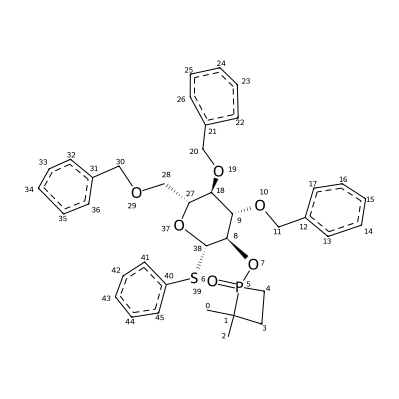 CC1(C)CCP1(=O)O[C@@H]1[C@@H](OCc2ccccc2)[C@H](OCc2ccccc2)[C@@H](COCc2ccccc2)O[C@H]1Sc1ccccc1